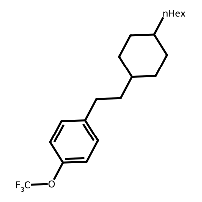 CCCCCCC1CCC(CCc2ccc(OC(F)(F)F)cc2)CC1